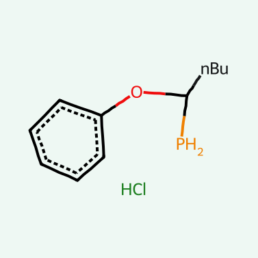 CCCCC(P)Oc1ccccc1.Cl